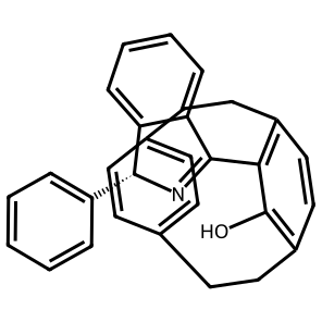 Oc1c2ccc(c1C1=N[C@H](c3ccccc3)c3ccccc31)CCc1ccc(cc1)CC2